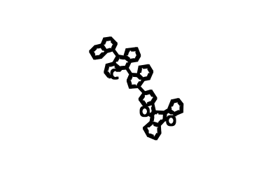 c1ccc2c(-c3c4ccccc4c(-c4ccc(-c5ccc6c(c5)oc5c7ccccc7c7oc8ccccc8c7c65)c5ccccc45)c4ccccc34)cccc2c1